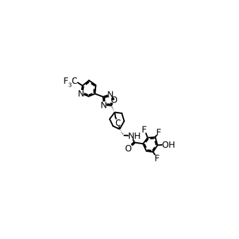 O=C(NC[C@]12CC[C@](c3nc(-c4ccc(C(F)(F)F)nc4)no3)(CC1)CC2)c1cc(F)c(O)c(F)c1F